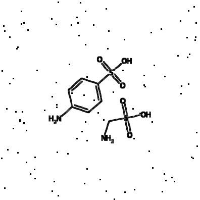 NCS(=O)(=O)O.Nc1ccc(S(=O)(=O)O)cc1